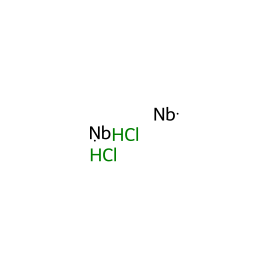 Cl.Cl.[Nb].[Nb]